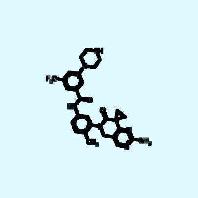 Cc1ccc(NC(=O)c2cc(N3CCNCC3)cc(C(F)(F)F)c2)cc1N1Cc2cnc(N)nc2C2(CC2)C1=O